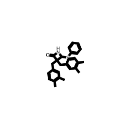 Cc1ccc(CC2(Cc3ccc(C)c(C)c3)C(=O)NC2Sc2ccccc2)cc1C